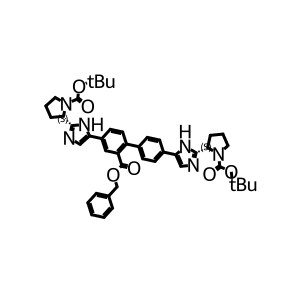 CC(C)(C)OC(=O)N1CCC[C@H]1c1ncc(-c2ccc(-c3ccc(-c4cnc([C@@H]5CCCN5C(=O)OC(C)(C)C)[nH]4)cc3C(=O)OCc3ccccc3)cc2)[nH]1